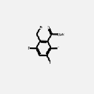 COC(=O)c1c(F)c(I)cc(F)c1CBr